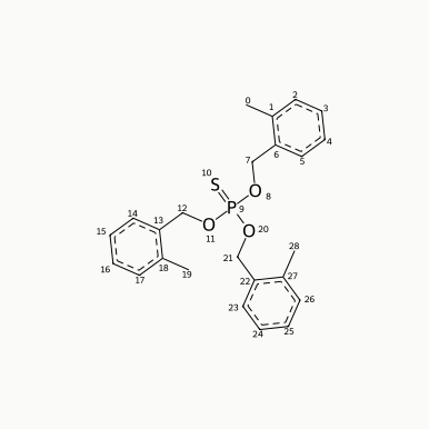 Cc1ccccc1COP(=S)(OCc1ccccc1C)OCc1ccccc1C